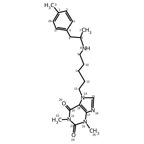 Cc1ccc(CC(C)NCCCCCn2cnc3c2c(=O)n(C)c(=O)n3C)cc1